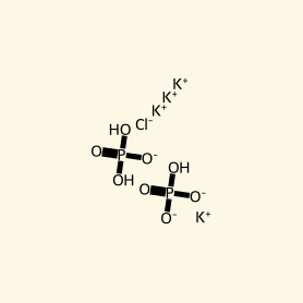 O=P([O-])(O)O.O=P([O-])([O-])O.[Cl-].[K+].[K+].[K+].[K+]